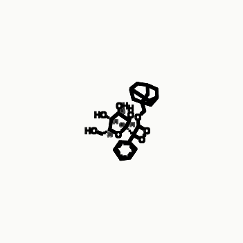 OC[C@H]1O[C@@H](C2(c3ccccc3)OOC2OCC23CC4CC(CC(C4)C2)C3)[C@H](O)[C@@H](O)[C@H]1O